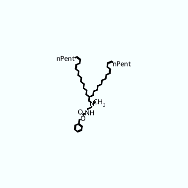 CCCCC/C=C\C/C=C\CCCCCCCCC(CCCCCCCC/C=C\C/C=C\CCCCC)CN(C)CCNC(=O)OCc1ccccc1